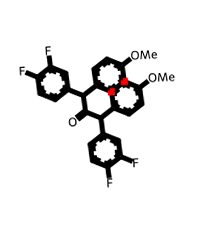 COc1ccc(C(C(=O)C(c2ccc(OC)cc2)c2ccc(F)c(F)c2)c2ccc(F)c(F)c2)cc1